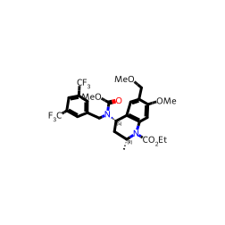 CCOC(=O)N1c2cc(OC)c(COC)cc2[C@@H](N(Cc2cc(C(F)(F)F)cc(C(F)(F)F)c2)C(=O)OC)C[C@H]1C